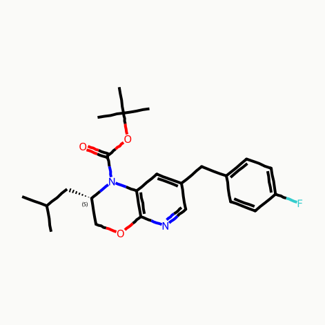 CC(C)C[C@H]1COc2ncc(Cc3ccc(F)cc3)cc2N1C(=O)OC(C)(C)C